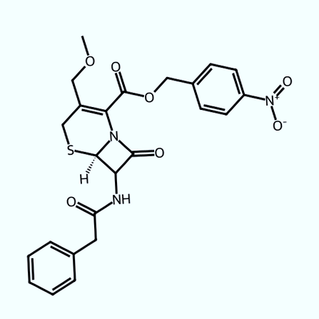 COCC1=C(C(=O)OCc2ccc([N+](=O)[O-])cc2)N2C(=O)C(NC(=O)Cc3ccccc3)[C@H]2SC1